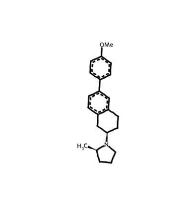 COc1ccc(-c2ccc3c(c2)CC[C@@H](N2CCC[C@H]2C)C3)cc1